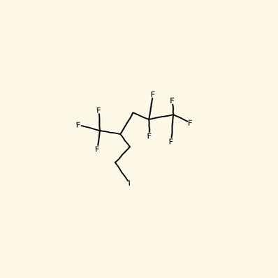 FC(F)(F)C(CCI)CC(F)(F)C(F)(F)F